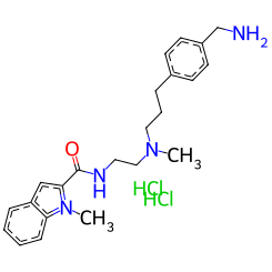 CN(CCCc1ccc(CN)cc1)CCNC(=O)c1cc2ccccc2n1C.Cl.Cl